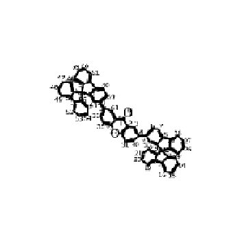 O=c1c2cc(-c3ccc4c(c3)C3(c5ccccc5-c5ccccc53)c3ccccc3-4)ccc2oc2ccc(-c3ccc4c(c3)C3(c5ccccc5-c5ccccc53)c3ccccc3-4)cc12